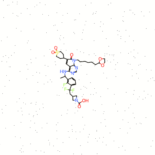 CC(Nc1ncnc2c1cc(C1CCS(=O)(=O)CC1)c(=O)n2CCCCCCC1OCCO1)c1cccc(C(F)(F)CC2CN(C(=O)O)C2)c1F